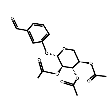 CC(=O)O[C@@H]1[C@@H](OC(C)=O)[C@H](Oc2cccc(C=O)c2)OC[C@H]1OC(C)=O